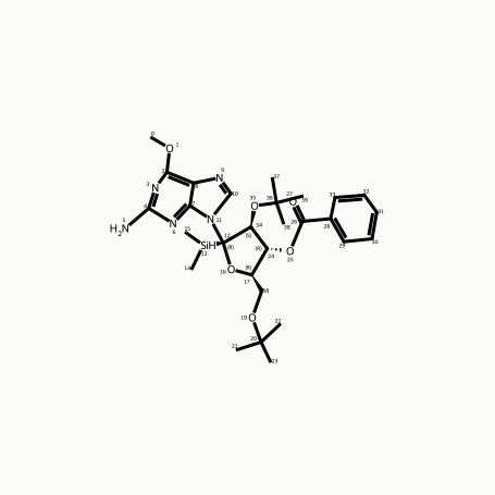 COc1nc(N)nc2c1ncn2[C@@]1([SiH](C)C)O[C@H](COC(C)(C)C)[C@@H](OC(=O)c2ccccc2)[C@@H]1OC(C)(C)C